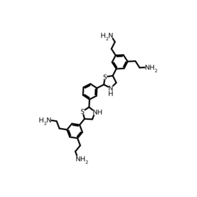 NCCc1cc(CCN)cc(C2CNC(c3cccc(C4NCC(c5cc(CCN)cc(CCN)c5)S4)c3)S2)c1